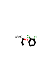 C=CC(=O)OC.Clc1ccccc1Cl